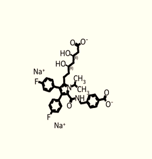 CC(C)n1c(CC[C@@H](O)C[C@@H](O)CC(=O)[O-])c(-c2ccc(F)cc2)c(-c2ccc(F)cc2)c1C(=O)NCc1ccc(C(=O)[O-])cc1.[Na+].[Na+]